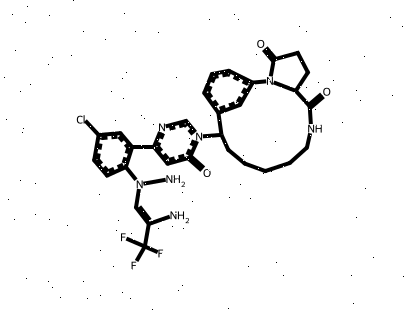 N/C(=C\N(N)c1ccc(Cl)cc1-c1cc(=O)n(C2CCCCCNC(=O)C3CCC(=O)N3c3cccc2c3)cn1)C(F)(F)F